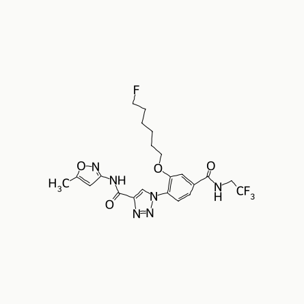 Cc1cc(NC(=O)c2cn(-c3ccc(C(=O)NCC(F)(F)F)cc3OCCCCCCF)nn2)no1